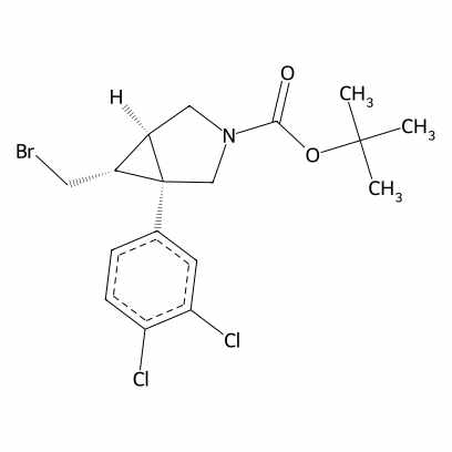 CC(C)(C)OC(=O)N1C[C@@H]2[C@@H](CBr)[C@]2(c2ccc(Cl)c(Cl)c2)C1